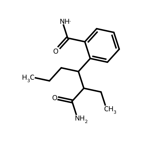 CCCC(c1ccccc1C([NH])=O)C(CC)C(N)=O